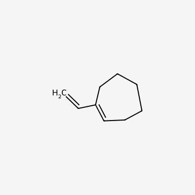 C=CC1=CCCCCC1